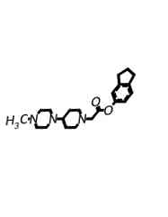 CN1CCN(C2CCN(CC(=O)Oc3ccc4c(c3)CCC4)CC2)CC1